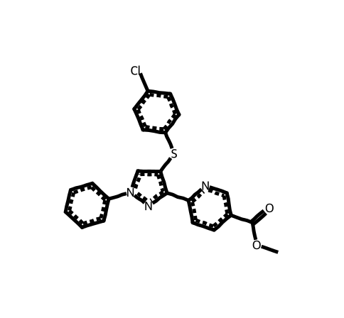 COC(=O)c1ccc(-c2nn(-c3ccccc3)cc2Sc2ccc(Cl)cc2)nc1